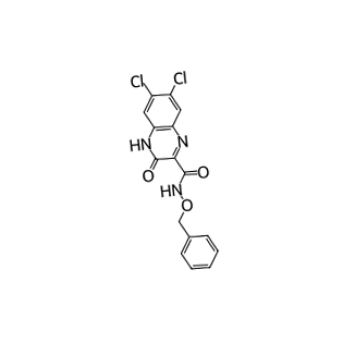 O=C(NOCc1ccccc1)c1nc2cc(Cl)c(Cl)cc2[nH]c1=O